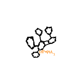 PPc1c(-c2ccccc2)c(-c2ccccc2)c(-c2ccccc2)c2c1-c1cccc(-c3ccccc3)c1-2